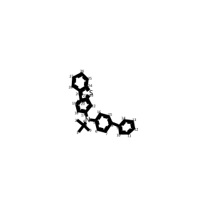 CC(C)(C)N(c1ccc(-c2ccccc2)cc1)c1ccc2c(c1)sc1ccccc12